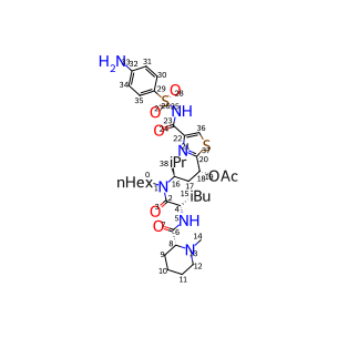 CCCCCCN(C(=O)[C@@H](NC(=O)[C@H]1CCCCN1C)[C@@H](C)CC)[C@H](C[C@@H](OC(C)=O)c1nc(C(=O)NS(=O)(=O)c2ccc(N)cc2)cs1)C(C)C